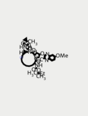 CCC(C)(C)OC(=O)N[C@H]1CCCCC/C=C\[C@@H]2C[C@@]2(C(=O)NS(=O)(=O)C2(C)CC2)NC(=O)[C@@H]2C[C@@H](Oc3nc4cc(OC)ccc4nc3C(F)(F)F)CN2C1=O